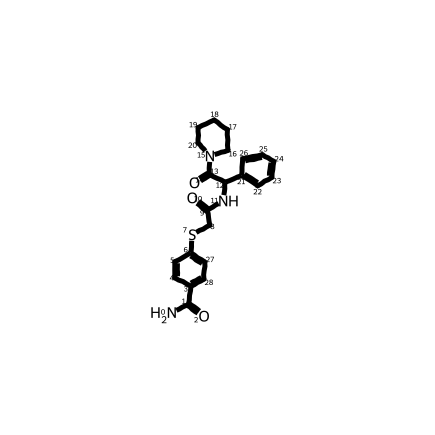 NC(=O)c1ccc(SCC(=O)NC(C(=O)N2CCCCC2)c2ccccc2)cc1